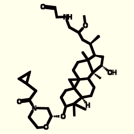 COC(CNCC=O)C[C@@H](C)[C@H]1C[C@H](O)[C@@]2(C)C3CC[C@H]4C(C)(C)C(O[C@H]5CN(C(=O)CC6CC6)CCO5)CCC45CC35CCC12C